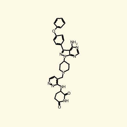 Nc1ncnc2c1c(-c1ccc(Oc3ccccc3)cc1)nn2C1CCN(Cc2ccnnc2NC2CCC(=O)NC2=O)CC1